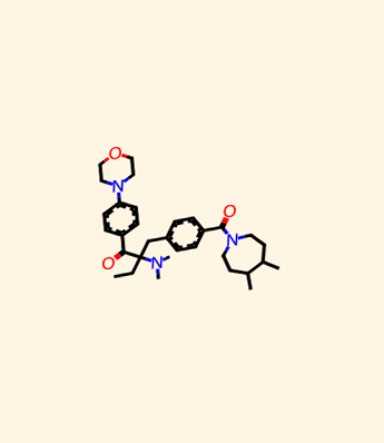 CCC(Cc1ccc(C(=O)N2CCC(C)C(C)CC2)cc1)(C(=O)c1ccc(N2CCOCC2)cc1)N(C)C